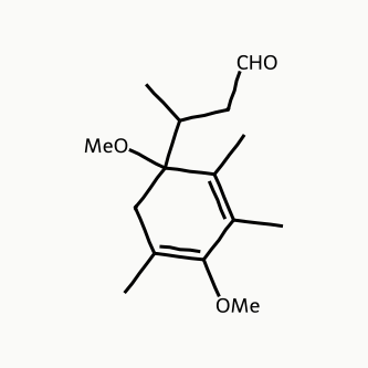 COC1=C(C)CC(OC)(C(C)CC=O)C(C)=C1C